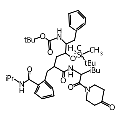 CCC(C)C(NC(=O)C(Cc1ccccc1C(=O)NC(C)C)CC(O[Si](C)(C)C(C)(C)C)C(Cc1ccccc1)NC(=O)OC(C)(C)C)C(=O)N1CCC(=O)CC1